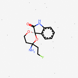 NC1(CCF)CCO[C@]2(O1)C(=O)Nc1ccccc12